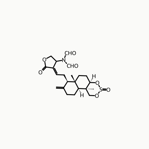 C=C1CC[C@@H]2[C@]3(C)COS(=O)O[C@@H]3CC[C@@]2(C)[C@@H]1C/C=C1/C(=O)OCC1N(C=O)C=O